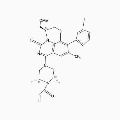 C=CC(=O)N1[C@H](C)CN(c2nc(=O)n3c4c(c(-c5cccc(I)c5)c(C(F)(F)F)cc24)SC[C@@H]3COC)C[C@@H]1C